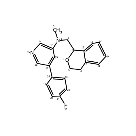 CN(CC1OCCc2ccccc21)c1cncc(-c2ccc(F)cc2)c1